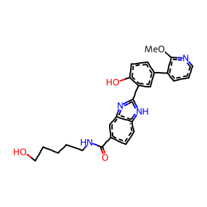 COc1ncccc1-c1ccc(O)c(-c2nc3cc(C(=O)NCCCCCO)ccc3[nH]2)c1